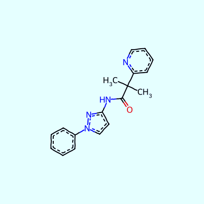 CC(C)(C(=O)Nc1ccn(-c2ccccc2)n1)c1ccccn1